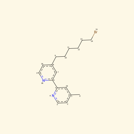 Cc1ccnc(-c2cc(CCCCCCBr)ccn2)c1